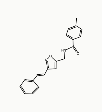 Cc1ccc(C(=O)NCc2cc(/C=C/c3ccccc3)no2)cc1